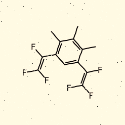 Cc1c(C(F)=C(F)F)cc(C(F)=C(F)F)c(C)c1C